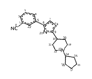 N#Cc1cccc(-c2csc(C3CCN(C4CCCC4)CC3)n2)c1